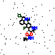 CC(C)NC(=O)O[C@H]1[C@H](C)c2c(cc(F)c(-c3cccc4c(Cl)c[nH]c34)c2F)NC1(C)C